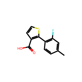 Cc1ccc(-c2sccc2C(=O)O)c(F)c1